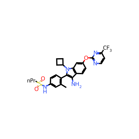 CCCS(=O)(=O)Nc1ccc(-c2c(N)c3ccc(Oc4nccc(C(F)(F)F)n4)cc3n2C2CCC2)c(C)c1